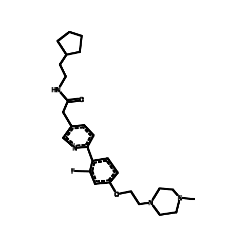 CN1CCN(CCOc2ccc(-c3ccc(CC(=O)NCCC4CCCC4)cn3)c(F)c2)CC1